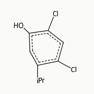 CC(C)c1cc(O)c(Cl)cc1Cl